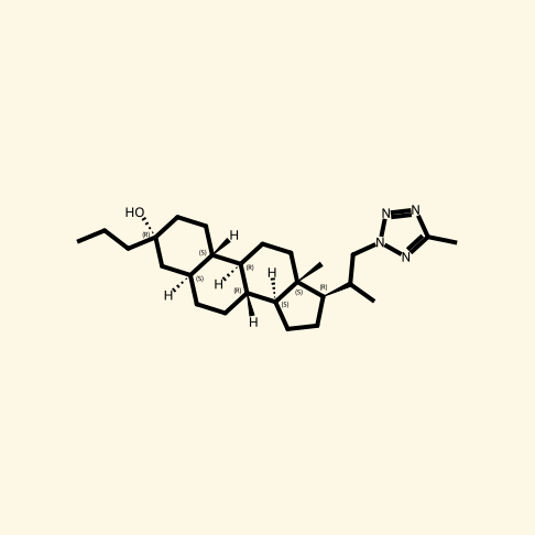 CCC[C@@]1(O)CC[C@H]2[C@@H](CC[C@@H]3[C@@H]2CC[C@]2(C)[C@@H](C(C)Cn4nnc(C)n4)CC[C@@H]32)C1